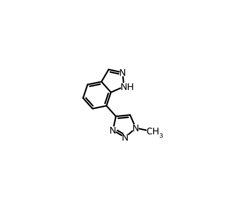 Cn1cc(-c2cccc3cn[nH]c23)nn1